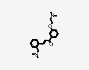 CN(C)CCOc1cccc(C(=O)/C=C/c2ccccc2CN(C)C)c1